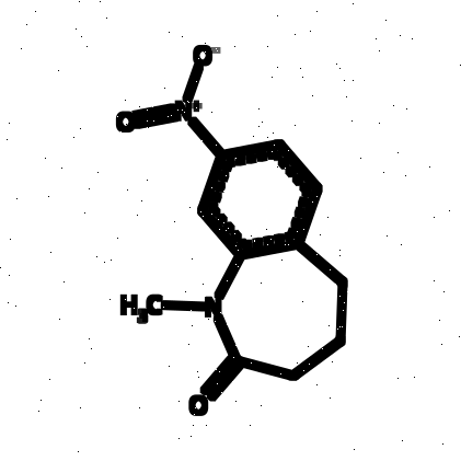 CN1C(=O)CCCc2ccc([N+](=O)[O-])cc21